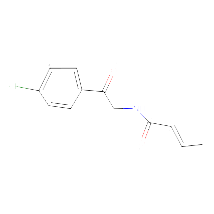 C/C=C/C(=O)NCC(=O)c1ccc(Cl)cc1